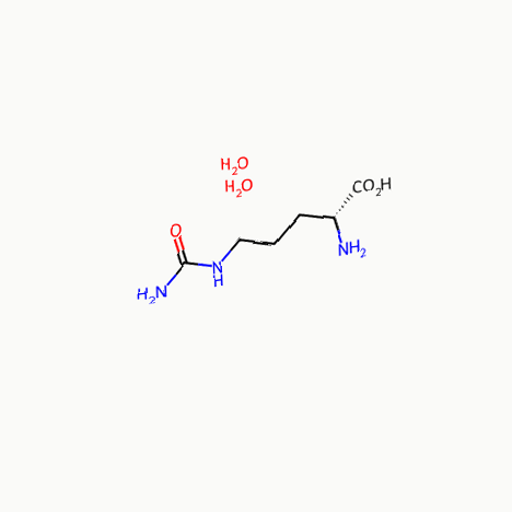 NC(=O)NCCC[C@@H](N)C(=O)O.O.O